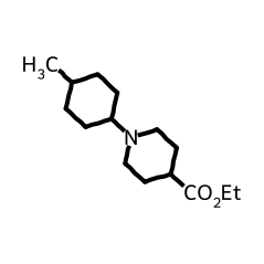 CCOC(=O)C1CCN(C2CCC(C)CC2)CC1